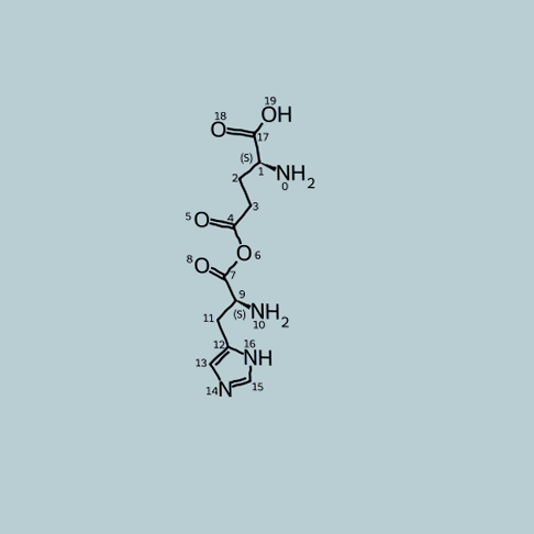 N[C@@H](CCC(=O)OC(=O)[C@@H](N)Cc1cnc[nH]1)C(=O)O